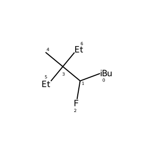 CCC(C)C(F)C(C)(CC)CC